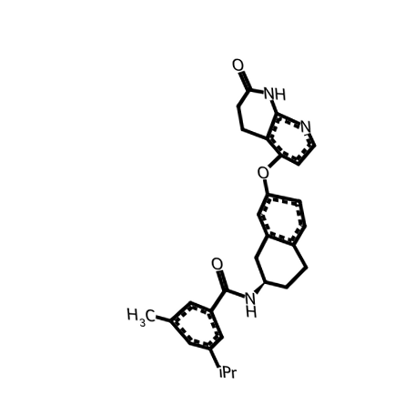 Cc1cc(C(=O)N[C@@H]2CCc3ccc(Oc4ccnc5c4CCC(=O)N5)cc3C2)cc(C(C)C)c1